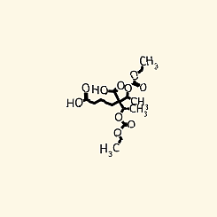 CCOC(=O)OC(C)C(CCCC(=O)O)(C(=O)O)C(C)OC(=O)OCC